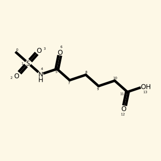 CS(=O)(=O)NC(=O)CCCCC(=O)O